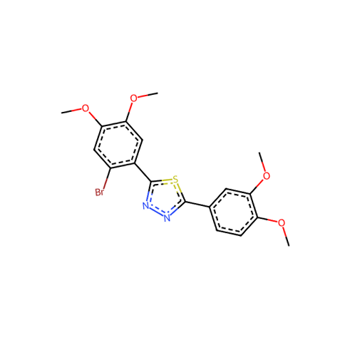 COc1ccc(-c2nnc(-c3cc(OC)c(OC)cc3Br)s2)cc1OC